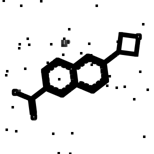 O=C([O-])c1ccc2cc(C3COC3)ccc2c1.[Li+]